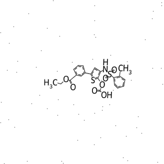 CCOC(=O)c1cccc(-c2cc(NS(=O)(=O)c3ccccc3C)c(OC(=O)O)s2)c1